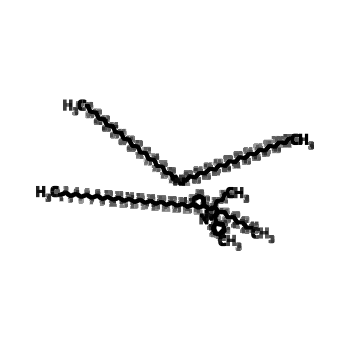 CCCCCCCCCCCCCCCCCCCCCCCCCCc1cccc(C2=C(CCCC)C(CCCCCCCC)=C(c3ccc(C)cc3)[N+]2=[N-])c1.CCCCCCCCCCCCCCCCCCCCCC[CH2][Ni][CH2]CCCCCCCCCCCCCCCCCCCCCC